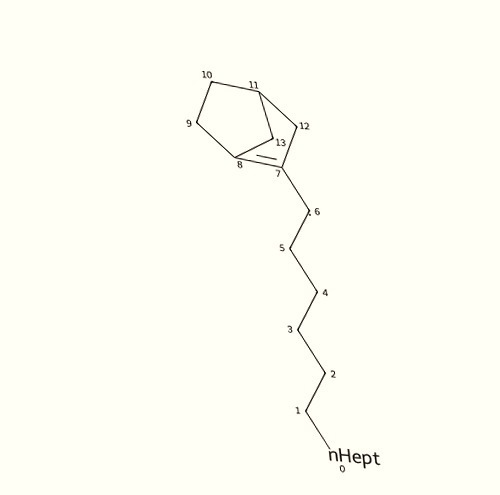 CCCCCCCCCCCC[CH]C1=C2CCC(C1)C2